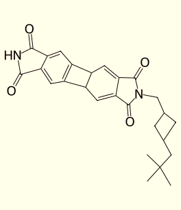 CC(C)(C)CC1CC(CN2C(=O)C3=CC4c5cc6c(cc5C4C=C3C2=O)C(=O)NC6=O)C1